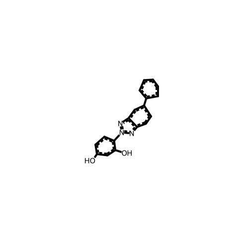 Oc1ccc(-n2nc3ccc(-c4ccccc4)cc3n2)c(O)c1